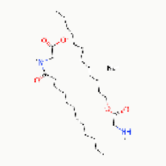 CCCCCCCCCCCC(=O)N(C)CC(=O)[O-].CCCCCCCCCCCCOC(=O)CNC.[Na+]